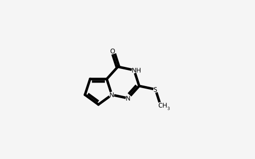 CSc1nn2cccc2c(=O)[nH]1